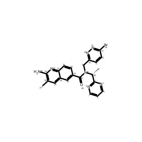 C[C@H](c1ncccn1)N(Cc1ccc(Br)nn1)C(=O)c1ccc2nc(N)c(I)cc2c1